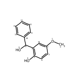 COc1ccc(O)c(C(O)c2ccccc2)c1